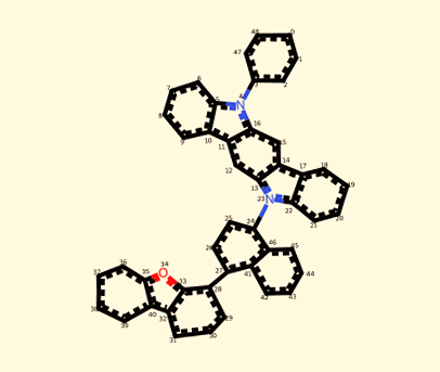 c1ccc(-n2c3ccccc3c3cc4c(cc32)c2ccccc2n4-c2ccc(-c3cccc4c3oc3ccccc34)c3ccccc23)cc1